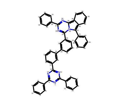 c1ccc(-c2nc(-c3ccccc3)nc(-c3cccc(-c4cccc(-c5nc(-c6ccccc6)nc6c7ccccc7c(-c7ccccc7)n56)c4)c3)n2)cc1